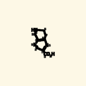 O=C(O)c1cnc2c(n1)CCNC2